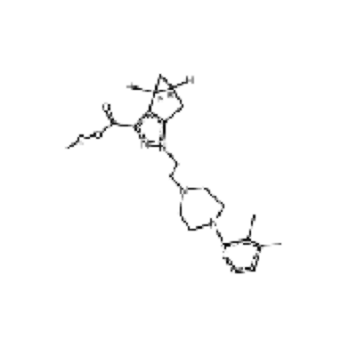 CCOC(=O)c1nn(CCN2CCN(c3cccc(C)c3C)CC2)c2c1[C@@H]1C[C@@H]1C2